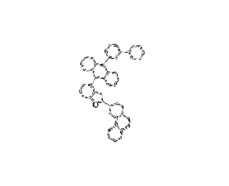 c1ccc(-c2cccc(-c3c4ccccc4c(-c4cccc5oc(-c6ccc7ccc8ccccc8c7c6)cc45)c4ccccc34)c2)cc1